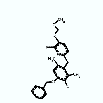 COCOc1ccc(Cc2c(C)cc(OCc3ccccc3)c(F)c2C)nc1I